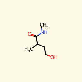 CNC(=O)C(C)CCO